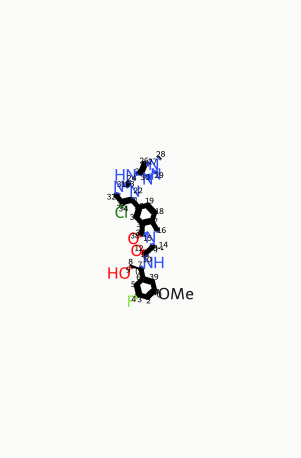 COc1cc(F)cc([C@@H](CO)NC(=O)[C@@H](C)N2Cc3ccc(-c4nc(Nc5cn(C)nn5)ncc4Cl)cc3C2=O)c1